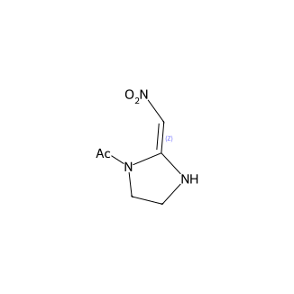 CC(=O)N1CCN/C1=C/[N+](=O)[O-]